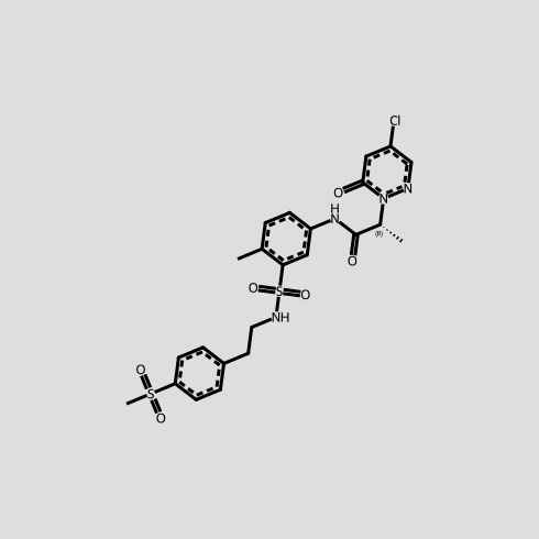 Cc1ccc(NC(=O)[C@@H](C)n2ncc(Cl)cc2=O)cc1S(=O)(=O)NCCc1ccc(S(C)(=O)=O)cc1